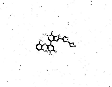 Cc1cccc(C)c1Oc1cn(C)c(=O)cc1-c1cn(C)c(=O)c2[nH]c(-c3cnn(C4CNC4)c3)cc12